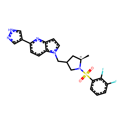 C[C@@H]1CC(Cn2ccc3nc(-c4cn[nH]c4)ccc32)CN1S(=O)(=O)c1cccc(F)c1F